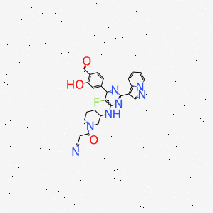 N#CCC(=O)N1CCCC(Nc2nc(-c3cnn4ccccc34)nc(-c3ccc(C=O)c(O)c3)c2F)C1